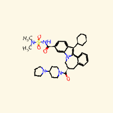 CN(C)S(=O)(=O)NC(=O)c1ccc2c(C3CCCCC3)c3n(c2c1)C[C@H](C(=O)N1CCC(N2CCCC2)CC1)Cc1ccccc1-3